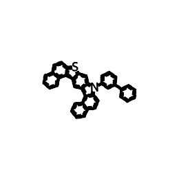 c1ccc(-c2cccc(-n3c4cc5sc6ccc7ccccc7c6c5cc4c4c5ccccc5ccc43)c2)cc1